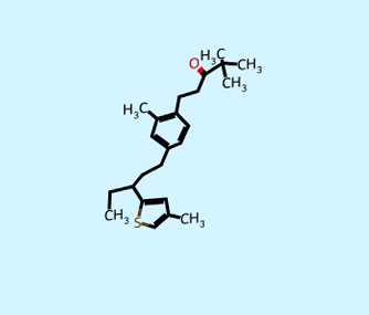 CCC(CCc1ccc(CCC(=O)C(C)(C)C)c(C)c1)c1cc(C)cs1